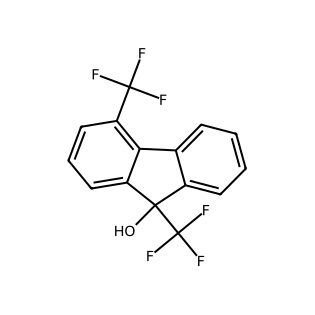 OC1(C(F)(F)F)c2ccccc2-c2c(C(F)(F)F)cccc21